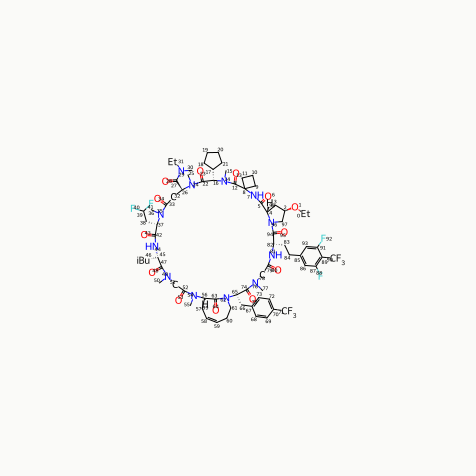 CCO[C@@H]1C[C@H]2C(=O)NC3(CCC3)C(=O)N(C)[C@@H](C3CCCC3)C(=O)N(C)[C@H](C(=O)N(C)CC)CC(=O)N(C)[C@@H](CC(F)F)C(=O)N[C@@H]([C@@H](C)CC)C(=O)N(C)CC(=O)N(C)[C@H]3C/C=C\CCN(C3=O)[C@@H](Cc3ccc(C(F)(F)F)cc3)C(=O)N(C)CC(=O)N[C@@H](CCc3cc(F)c(C(F)(F)F)c(F)c3)C(=O)N2C1